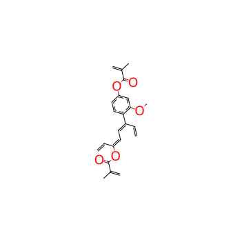 C=C/C(=C\C=C(/C=C)c1ccc(OC(=O)C(=C)C)cc1OC)OC(=O)C(=C)C